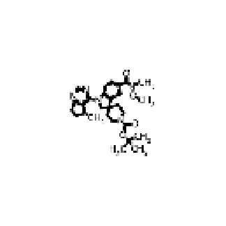 CON(C)C(=O)c1ccc2c(c1)C1(CCN(C(=O)OC(C)(C)C)CC1)CN2c1ncnc2c1C(C)CC2